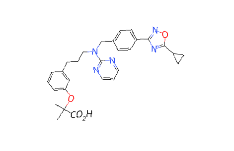 CC(C)(Oc1cccc(CCCN(Cc2ccc(-c3noc(C4CC4)n3)cc2)c2ncccn2)c1)C(=O)O